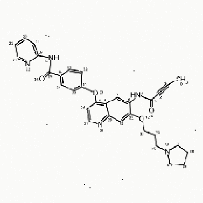 CC#CC(=O)Nc1cc2c(Oc3ccc(C(=O)Nc4ccccn4)cc3)ccnc2cc1OCCCN1CCCC1